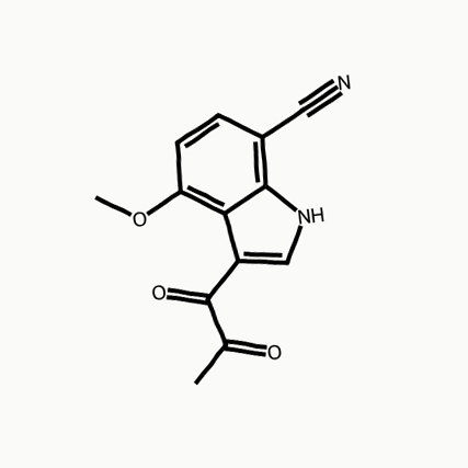 COc1ccc(C#N)c2[nH]cc(C(=O)C(C)=O)c12